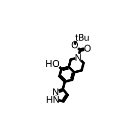 CC(C)(C)OC(=O)N1CCc2cc(-c3cc[nH]n3)cc(O)c2C1